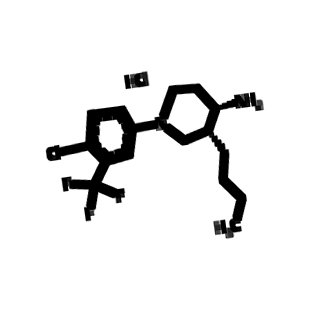 CCCC[C@@H]1CN(c2ccc(Cl)c(C(F)(F)F)c2)CC[C@@H]1N.Cl